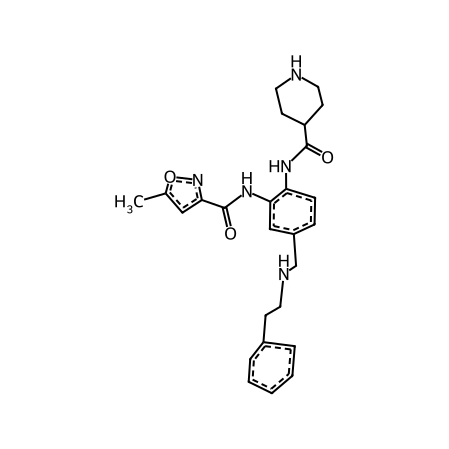 Cc1cc(C(=O)Nc2cc(CNCCc3ccccc3)ccc2NC(=O)C2CCNCC2)no1